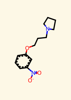 O=[N+]([O-])c1cccc(OCCCN2CCCC2)c1